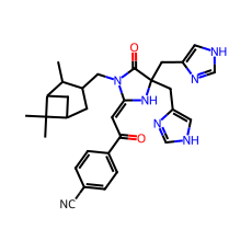 CC1C(CN2C(=O)C(Cc3c[nH]cn3)(Cc3c[nH]cn3)NC2=CC(=O)c2ccc(C#N)cc2)CC2CC1C2(C)C